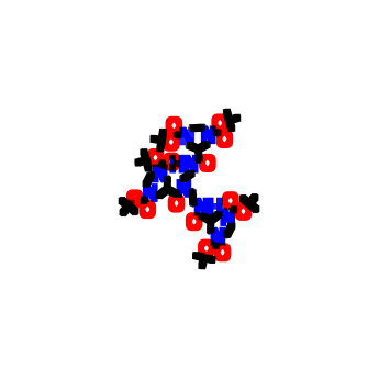 CC(C)(C)OC(=O)N1CCN(C(=O)OC(C)(C)C)CC(C(=O)NCCN(CCNC(=O)C2CN(C(=O)OC(C)(C)C)CCN(C(=O)OC(C)(C)C)C2)C(=O)C2CN(C(=O)OC(C)(C)C)CCN(C(=O)OC(C)(C)C)C2)C1